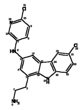 NCCc1cc(Nc2ccc(Cl)nc2)cc2c1[nH]c1ccc(Cl)cc12